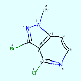 CC(C)n1nc(Br)c2c(Cl)nccc21